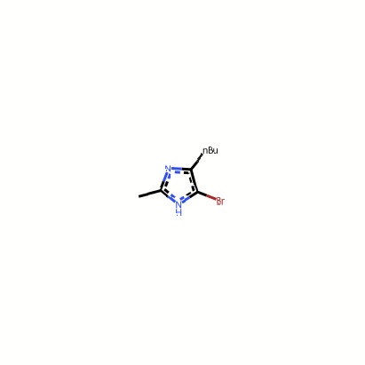 CCCCc1nc(C)[nH]c1Br